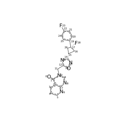 O=c1c2cccnc2ncn1Cc1nc([C@H]2C[C@](F)(c3ccc(F)cc3)C2)no1